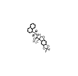 C[C@@]1(C(=O)NS(=O)(=O)c2cccc3ccccc23)COc2cc3c(cc21)OC(F)(F)O3